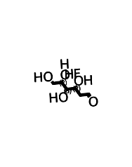 F.O=CC[C@@H](O)[C@H](O)[C@H](O)CO